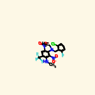 CCN(Cc1c(F)cccc1Cl)c1c([N+](=O)[O-])cc(C(F)(F)F)c(NC)c1[N+](=O)[O-]